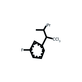 CC(C)C(C)C(c1cccc(F)c1)C(Cl)(Cl)Cl